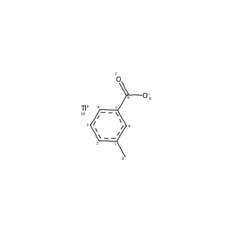 Cc1cccc(C(=O)[O-])c1.[Tl+]